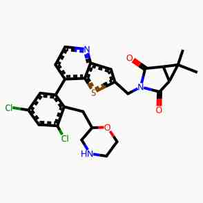 CC1(C)C2C(=O)N(Cc3cc4nccc(-c5cc(Cl)cc(Cl)c5CC5CNCCO5)c4s3)C(=O)C21